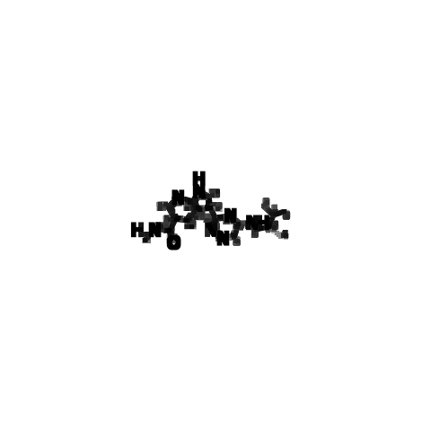 CC(C)[C@H](C)CNc1cnnc(-c2c[nH]c3ncc(C(N)=O)cc23)n1